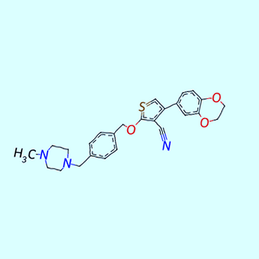 CN1CCN(Cc2ccc(COc3scc(-c4ccc5c(c4)OCCO5)c3C#N)cc2)CC1